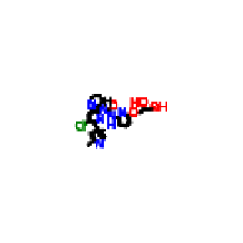 Cc1cc(-c2nc3c(cc2Cl)N2CC[C@@H](C2)N3C(=O)Nc2cccc(OC[C@H](O)CO)n2)ccn1